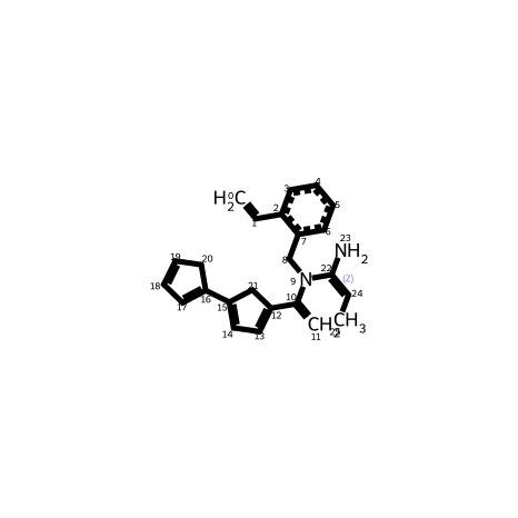 C=Cc1ccccc1CN(C(=C)C1=CC=C(C2=CC=CC2)C1)/C(N)=C\C